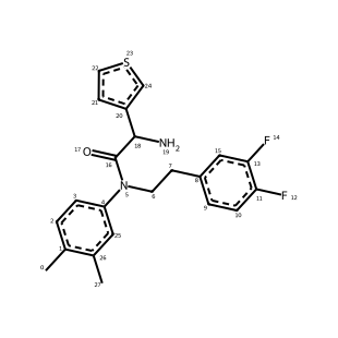 Cc1ccc(N(CCc2ccc(F)c(F)c2)C(=O)C(N)c2ccsc2)cc1C